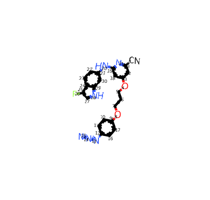 N#Cc1cc(OCCCOc2ccc(N=[N+]=[N-])cc2)cc(Nc2ccc3c(F)c[nH]c3c2)n1